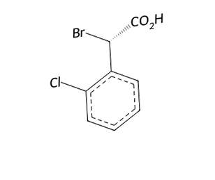 O=C(O)[C@@H](Br)c1ccccc1Cl